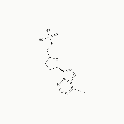 Nc1ncnn2c([C@H]3CCC(COP(=O)(O)O)O3)ccc12